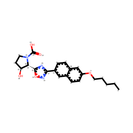 CCCCCOc1ccc2cc(-c3noc([C@@H]4[C@@H](O)CCN4C(=O)O)n3)ccc2c1